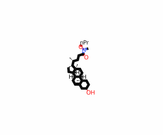 CCCON(C)C(=O)CC[C@@H](C)[C@H]1CC[C@H]2[C@@H]3CC=C4C[C@@H](O)CC[C@]4(C)[C@H]3CC[C@]12C